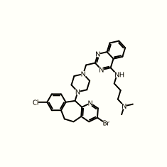 CN(C)CCCNc1nc(CN2CCN(C3c4ccc(Cl)cc4CCc4cc(Br)cnc43)CC2)nc2ccccc12